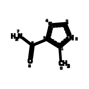 Cc1n[c]sc1C(N)=O